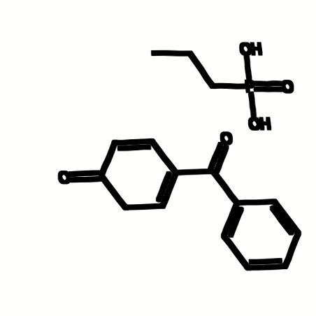 CCCP(=O)(O)O.O=C1C=CC(C(=O)c2ccccc2)=CC1